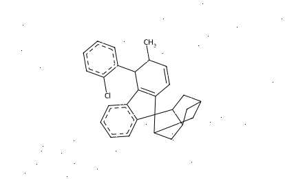 CC1C=CC2=C(c3ccccc3C23C2CC4CC(C2)C3C4)C1c1ccccc1Cl